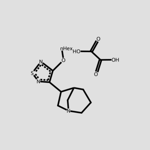 CCCCCCOc1nsnc1C1CN2CCCC1C2.O=C(O)C(=O)O